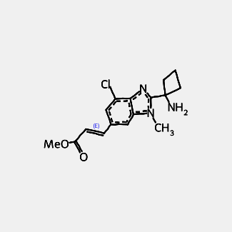 COC(=O)/C=C/c1cc(Cl)c2nc(C3(N)CCC3)n(C)c2c1